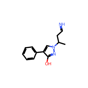 CC(CC=N)n1cc(-c2ccccc2)c(O)n1